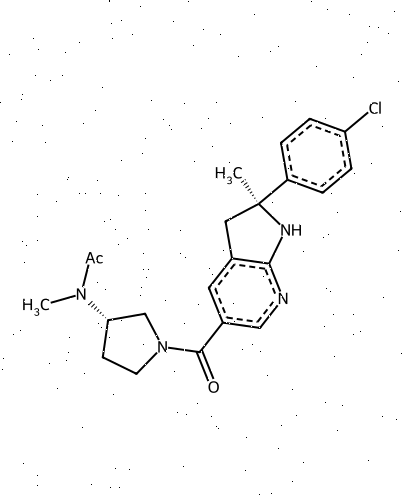 CC(=O)N(C)[C@H]1CCN(C(=O)c2cnc3c(c2)C[C@@](C)(c2ccc(Cl)cc2)N3)C1